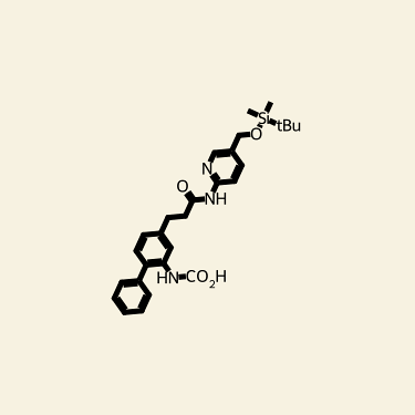 CC(C)(C)[Si](C)(C)OCc1ccc(NC(=O)CCc2ccc(-c3ccccc3)c(NC(=O)O)c2)nc1